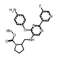 CC(C)(C)OC(=O)N1CCCC1CNc1cnc(-c2cncc(F)c2)nc1Oc1ccc(N)cc1